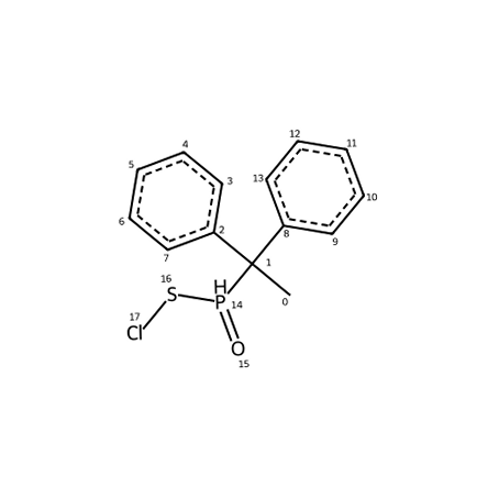 CC(c1ccccc1)(c1ccccc1)[PH](=O)SCl